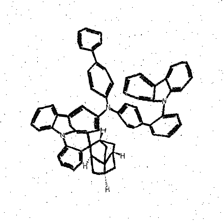 c1ccc(-c2ccc(N(c3ccc(-c4ccccc4-n4c5ccccc5c5ccccc54)cc3)c3cc4c5c(c3)c3ccccc3n5-c3ccccc3C43[C@H]4C[C@H]5C[C@H](C[C@H]3C5)C4)cc2)cc1